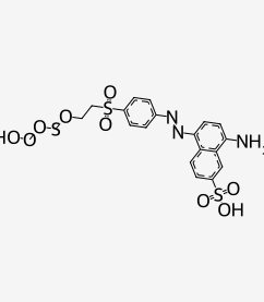 Nc1ccc(/N=N/c2ccc(S(=O)(=O)CCOSOOO)cc2)c2ccc(S(=O)(=O)O)cc12